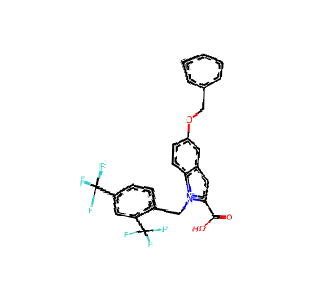 O=C(O)c1cc2cc(OCc3ccccc3)ccc2n1Cc1ccc(C(F)(F)F)cc1C(F)(F)F